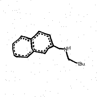 CC(C)(C)CNc1ccc2ccccc2c1